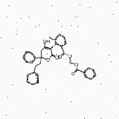 Cc1cccc(C(=O)OSOC(=O)c2ccccc2)c1C1=C(O)CC(CCc2ccccc2)(c2ccccc2)OC1=O